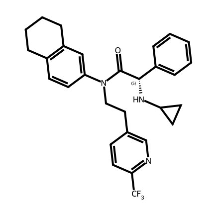 O=C([C@@H](NC1CC1)c1ccccc1)N(CCc1ccc(C(F)(F)F)nc1)c1ccc2c(c1)CCCC2